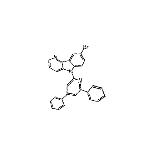 Brc1ccc2c(c1)c1ncccc1n2-c1cc(-c2ccccc2)cc(-c2ccccc2)n1